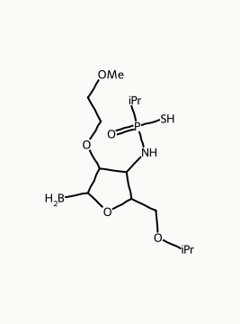 BC1OC(COC(C)C)C(NP(=O)(S)C(C)C)C1OCCOC